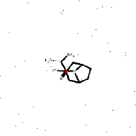 CC(C)C1CC2CCC(C1)N2C(=O)[C@H](C)N